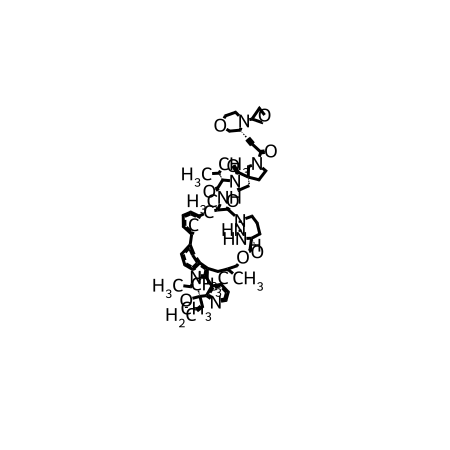 C=C[C@@](C)(OC)c1ncccc1-c1c2c3cc(ccc3n1CC)-c1cccc(c1)C[C@@](C)(NC(=O)[C@H](C(C)C)N1CC[C@]3(CCN(C(=O)C#C[C@@H]4COCCN4C4COC4)C3)C1=O)C(=O)N1CCC[C@H](NN1)C(=O)OCC(C)(C)C2